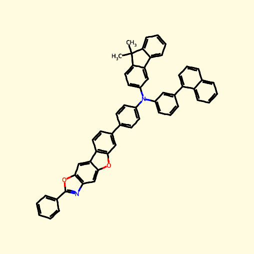 CC1(C)c2ccccc2-c2cc(N(c3ccc(-c4ccc5c(c4)oc4cc6nc(-c7ccccc7)oc6cc45)cc3)c3cccc(-c4cccc5ccccc45)c3)ccc21